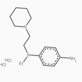 CCN(CCN1CCCCC1)c1ccc(N)cc1.Cl.Cl